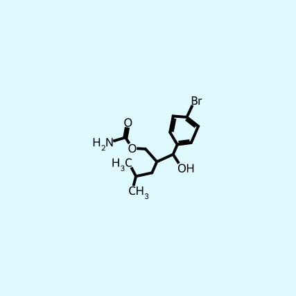 CC(C)CC(COC(N)=O)C(O)c1ccc(Br)cc1